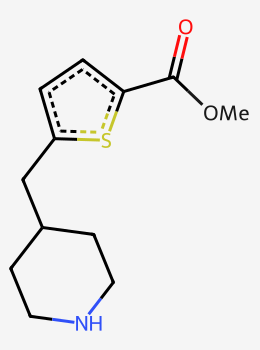 COC(=O)c1ccc(CC2CCNCC2)s1